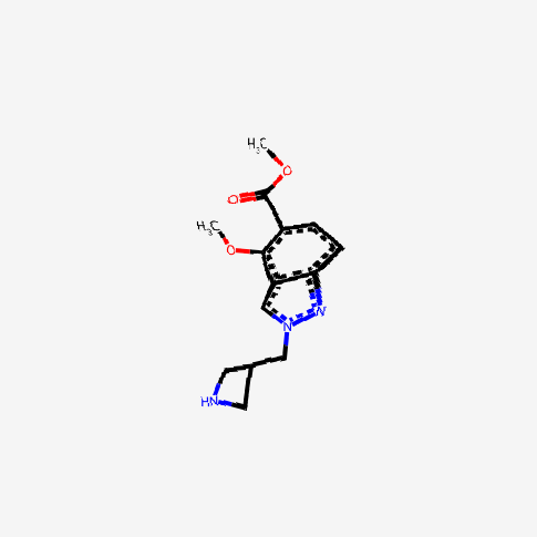 COC(=O)c1ccc2nn(CC3CNC3)cc2c1OC